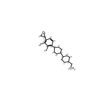 CCC1CCC(C2CCC(c3ccc(C4CO4)c(F)c3F)CC2)CC1